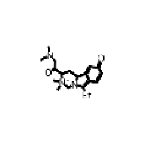 CCC1=C2C=CC(=O)C=C2C2CC(C(=O)CN(C)C)[N+](C)(C)CN12